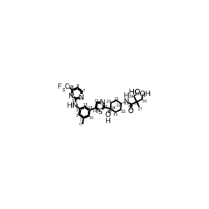 Cc1cc(Nc2nccc(C(F)(F)F)n2)cc(-c2cnc([C@]3(O)CC[C@H](NC(=O)C(C)(CO)CO)CC3)s2)c1